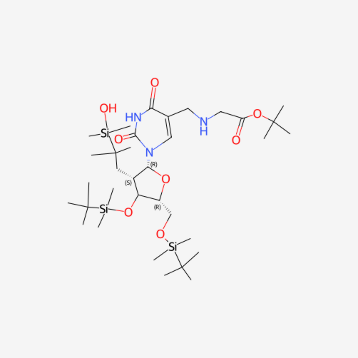 CC(C)(C)OC(=O)CNCc1cn([C@@H]2O[C@H](CO[Si](C)(C)C(C)(C)C)C(O[Si](C)(C)C(C)(C)C)[C@@H]2CC(C)(C)[Si](C)(C)O)c(=O)[nH]c1=O